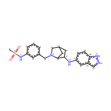 CS(=O)(=O)Nc1cccc(CN2CC3CC(Nc4ccc5[nH]ncc5c4)C2C3)c1